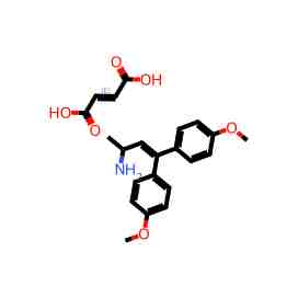 COc1ccc(C(=CC(C)N)c2ccc(OC)cc2)cc1.O=C(O)/C=C/C(=O)O